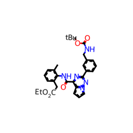 CCOC(=O)Cc1cccc(C)c1NC(=O)c1nc(-c2cccc(CNC(=O)OC(C)(C)C)c2)nn2cccc12